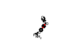 NC/C(=C\F)COc1ccc(C23CCC(C(=O)N4CC5(CCOCC5)C4)(CC2)CC3)cc1